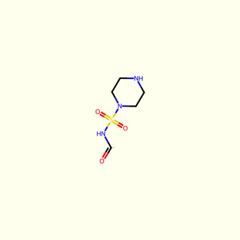 O=[C]NS(=O)(=O)N1CCNCC1